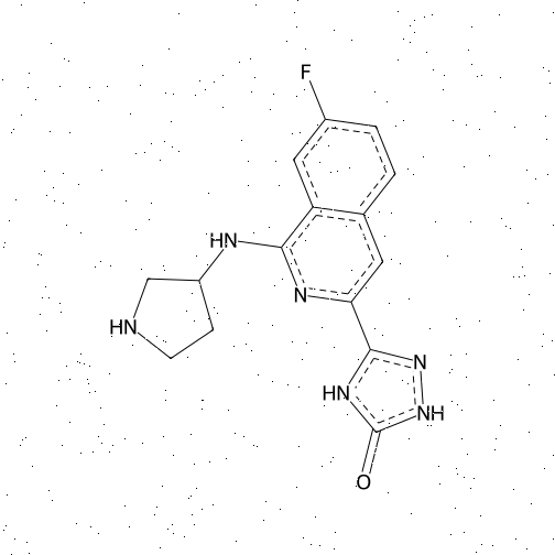 O=c1[nH]nc(-c2cc3ccc(F)cc3c(NC3CCNC3)n2)[nH]1